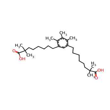 Cc1c(CCCCCCC(C)(C)C(=O)O)cc(CCCCCCC(C)(C)C(=O)O)c(C)c1C